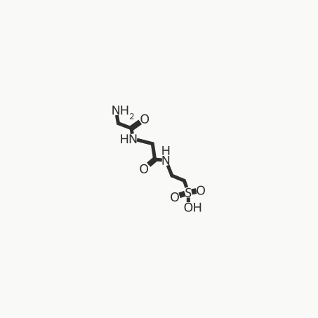 NCC(=O)NCC(=O)NCCS(=O)(=O)O